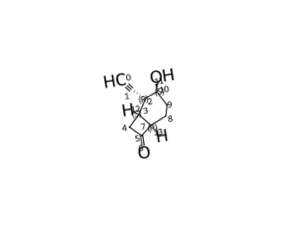 C#C[C@H]1[C@@H]2CC(=O)[C@@H]2CC[C@@H]1O